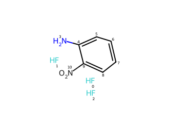 F.F.F.Nc1ccccc1[N+](=O)[O-]